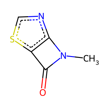 CN1C(=O)c2scnc21